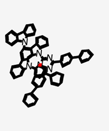 c1ccc(-c2ccc(-c3nc(-c4ccc(-c5ccccc5)cc4)nc(-n4c5ccccc5c5c(-n6c7ccccc7c7ccccc76)cc6c7ccccc7n(-c7ccc(-c8ccccc8)cc7)c6c54)n3)cc2)cc1